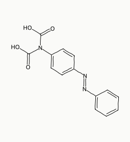 O=C(O)N(C(=O)O)c1ccc(/N=N/c2ccccc2)cc1